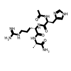 CC(=O)N[C@@H](Cc1c[nH]cn1)C(=O)N[C@@H](CCCNC(=N)N)C(=O)N[C@@H](C)C(N)=O